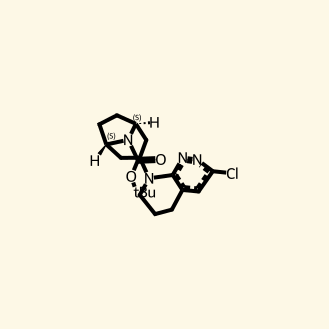 CC(C)(C)OC(=O)N1[C@H]2CC[C@H]1CC(N1CCCc3cc(Cl)nnc31)C2